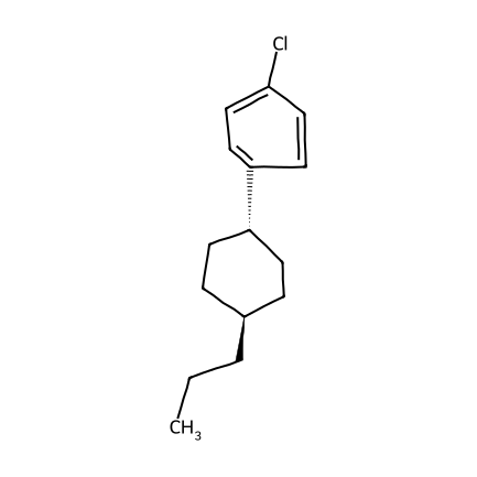 CCC[C@H]1CC[C@H](c2ccc(Cl)cc2)CC1